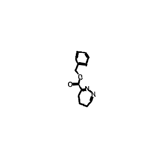 O=C(OCc1ccccc1)C1=NN=CCCC1